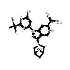 CCc1cc(-n2nc(N3CC4CC(C3)O4)c3cnc(C(N)=O)cc32)nc(C(C)(F)F)n1